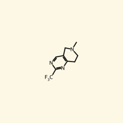 CN1CCc2nc(C(F)(F)F)ncc2C1